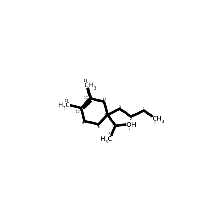 CCCCC1(C(C)O)CCC(C)=C(C)C1